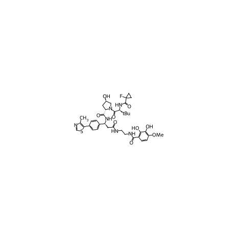 COc1ccc(C(=O)NCCNC(=O)C[C@H](NC(=O)[C@@H]2C[C@@H](O)CN2C(=O)[C@@H](NC(=O)C2(F)CC2)C(C)(C)C)c2ccc(-c3scnc3C)cc2)c(O)c1O